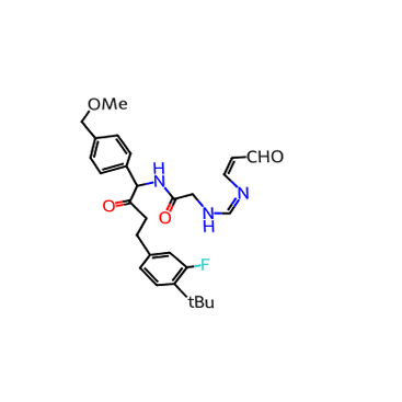 COCc1ccc(C(NC(=O)CN/C=N\C=C/C=O)C(=O)CCc2ccc(C(C)(C)C)c(F)c2)cc1